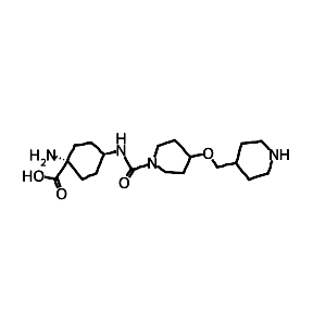 N[C@]1(C(=O)O)CC[C@@H](NC(=O)N2CCC(OCC3CCNCC3)CC2)CC1